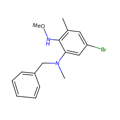 CONc1c(C)cc(Br)cc1N(C)Cc1ccccc1